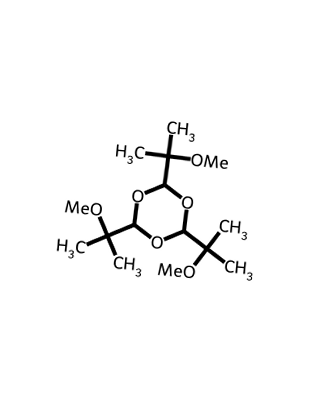 COC(C)(C)C1OC(C(C)(C)OC)OC(C(C)(C)OC)O1